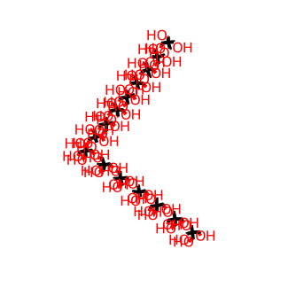 OCC(CO)(CO)CO.OCC(CO)(CO)CO.OCC(CO)(CO)CO.OCC(CO)(CO)CO.OCC(CO)(CO)CO.OCC(CO)(CO)CO.OCC(CO)(CO)CO.OCC(CO)(CO)CO.OCC(CO)(CO)CO.OCC(CO)(CO)CO.OCC(CO)(CO)CO.OCC(CO)(CO)CO.OCC(CO)(CO)CO.OCC(CO)(CO)CO.OCC(CO)(CO)CO